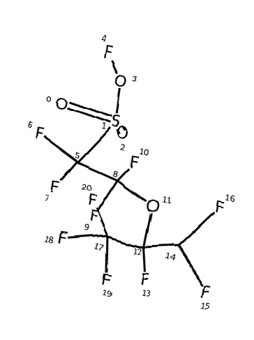 O=S(=O)(OF)C(F)(F)C(F)(F)OC(F)([C](F)F)C(F)(F)F